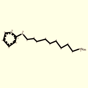 CCCCCCCCCCCCCCCCCCSc1ccccn1